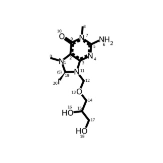 CN1c2c(nc(N)n(C)c2=O)N(COCC(O)CO)[C@H]1I